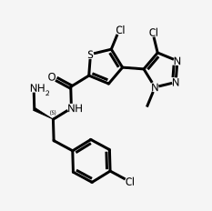 Cn1nnc(Cl)c1-c1cc(C(=O)N[C@H](CN)Cc2ccc(Cl)cc2)sc1Cl